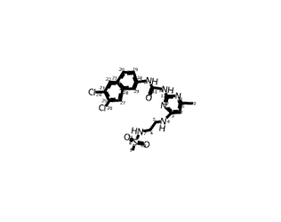 Cc1cc(NCCNS(C)(=O)=O)nc(NC(=O)Nc2ccc3cc(Cl)c(Cl)cc3c2)n1